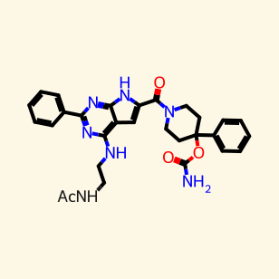 CC(=O)NCCNc1nc(-c2ccccc2)nc2[nH]c(C(=O)N3CCC(OC(N)=O)(c4ccccc4)CC3)cc12